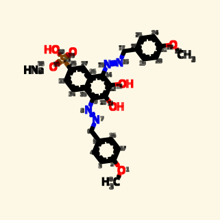 COc1ccc(CN=Nc2c(O)c(O)c(N=NCc3ccc(OC)cc3)c3cc(S(=O)(=O)O)ccc23)cc1.[NaH]